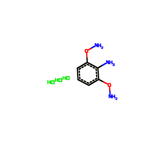 Cl.Cl.Cl.NOc1cccc(ON)c1N